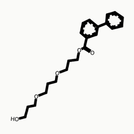 O=C(OCCCOCCCOCCCO)c1cccc(-c2ccccc2)c1